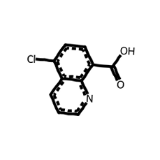 O=C(O)c1ccc(Cl)c2cccnc12